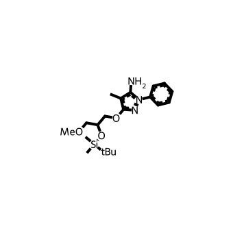 COCC(COc1nn(-c2ccccc2)c(N)c1C)O[Si](C)(C)C(C)(C)C